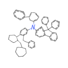 C1=CC=C(N(c2ccc(C3CCCCC3CC3CCCCCC3)c(Cc3ccccc3)c2)c2ccc3c(c2)C(c2ccccc2)(c2ccccc2)c2ccccc2-3)CC(c2ccccc2)=C1